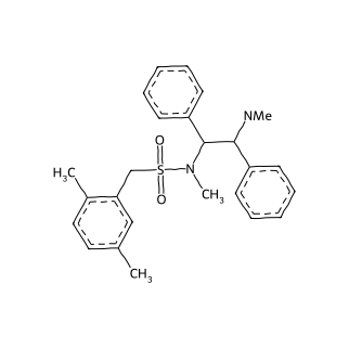 CNC(c1ccccc1)C(c1ccccc1)N(C)S(=O)(=O)Cc1cc(C)ccc1C